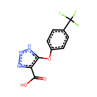 O=C(O)c1nn[nH]c1Oc1ccc(C(F)(F)F)cc1